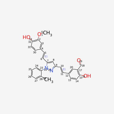 COc1cc(/C=C/c2cc(/C=C/c3ccc(O)c(C=O)c3)nn2-c2ccccc2C)ccc1O